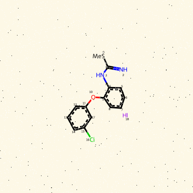 CSC(=N)Nc1ccccc1Oc1cccc(Cl)c1.I